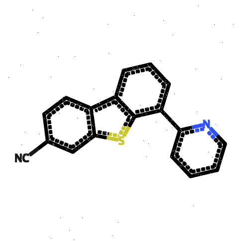 N#Cc1ccc2c(c1)sc1c(-c3ccccn3)cccc12